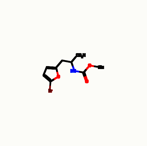 CC(C)(C)OC(=O)NC(Cc1ccc(Br)o1)C(=O)O